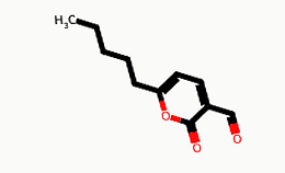 CCCCCc1ccc(C=O)c(=O)o1